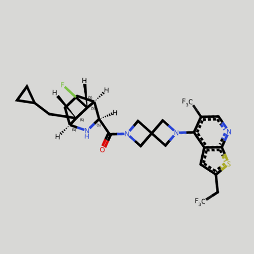 O=C([C@H]1N[C@H]2CC[C@@H]1[C@@H](F)[C@H]2CC1CC1)N1CC2(C1)CN(c1c(C(F)(F)F)cnc3sc(CC(F)(F)F)cc13)C2